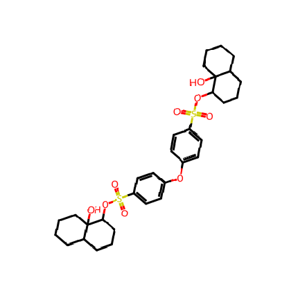 O=S(=O)(OC1CCCC2CCCCC21O)c1ccc(Oc2ccc(S(=O)(=O)OC3CCCC4CCCCC43O)cc2)cc1